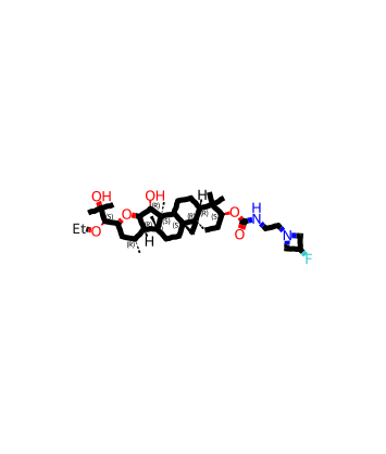 CCO[C@@H](C1C[C@@H](C)[C@H]2C(O1)[C@H](O)[C@@]1(C)C3CC[C@H]4C(C)(C)[C@@H](OC(=O)NCCN5CC(F)C5)CC[C@@]45C[C@@]35CC[C@]21C)C(C)(C)O